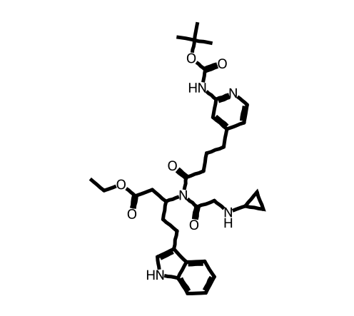 CCOC(=O)CC(CCc1c[nH]c2ccccc12)N(C(=O)CCCc1ccnc(NC(=O)OC(C)(C)C)c1)C(=O)CNC1CC1